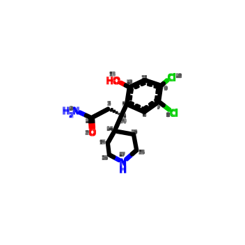 NC(=O)C[C@H](c1cc(Cl)c(Cl)cc1O)C1CCNCC1